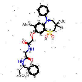 CCCCC1(CC)CN(c2ccccc2)c2cc(SC)c(OCC(=O)NCC(=O)N[C@@H](CS(=O)(=O)O)c3ccccc3)cc2S(=O)(=O)C1